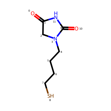 O=C1CN(CCCCS)C(=O)N1